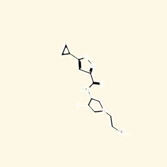 C[C@H]1CN(CCN)C[C@@H]1NC(=O)c1cc(C2CC2)on1